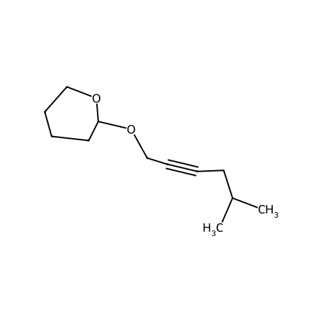 CC(C)CC#CCOC1CCCCO1